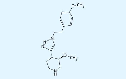 COc1ccc(CCn2cc([C@H]3CCNC[C@@H]3OC)nn2)cc1